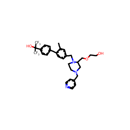 Cc1cc(CN2CCN(Cc3ccncc3)CC2COCCO)ccc1-c1ccc(C(O)(C(F)(F)F)C(F)(F)F)cc1